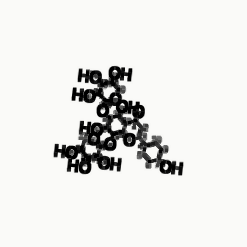 O=c1cc(-c2ccc(O)cc2)oc2c(O[C@@H]3OC[C@H](O)[C@H](O)[C@H]3O)c(O)c(O[C@@H]3OC[C@H](O)[C@H](O)[C@H]3O)c(O)c12